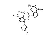 COc1ccnc(C(=O)N[C@@H](C)c2nc(-c3ccc(C(C)C)cc3)nn2C)c1OC(=O)C(C)C